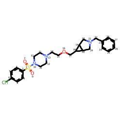 O=S(=O)(c1ccc(Cl)cc1)N1CCN(CCOCC2C3CN(Cc4ccccc4)CC23)CC1